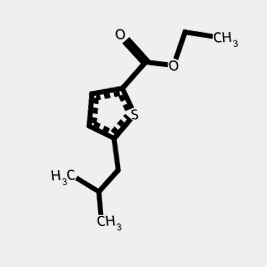 CCOC(=O)c1ccc(CC(C)C)s1